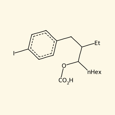 CCCCCCC(OC(=O)O)C(CC)Cc1ccc(I)cc1